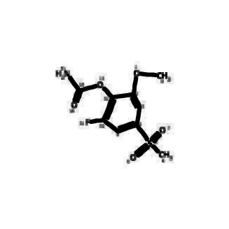 COc1cc(S(C)(=O)=O)cc(F)c1OC(N)=O